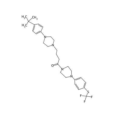 CC(C)(C)c1ccc(N2CCN(CCCC(=O)N3CCN(c4ccc(SC(F)(F)F)cc4)CC3)CC2)cc1